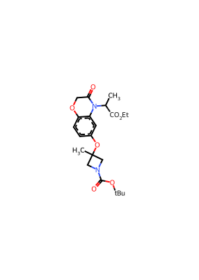 CCOC(=O)C(C)N1C(=O)COc2ccc(OC3(C)CN(C(=O)OC(C)(C)C)C3)cc21